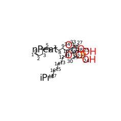 CCCCC/C=C\C/C=C\CCCCC(CCCCCCCC(C)C)C1(C2(C3(OP(O)O)CCO3)CCO2)CCO1